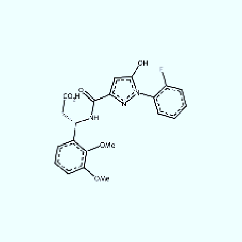 COc1cccc([C@H](CC(=O)O)NC(=O)c2cc(O)n(-c3ccccc3F)n2)c1OC